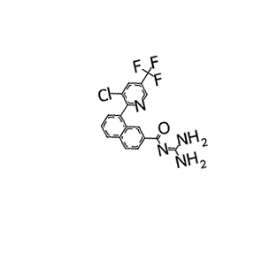 NC(N)=NC(=O)c1ccc2cccc(-c3ncc(C(F)(F)F)cc3Cl)c2c1